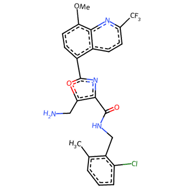 COc1ccc(-c2nc(C(=O)NCc3c(C)cccc3Cl)c(CN)o2)c2ccc(C(F)(F)F)nc12